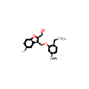 CCOC(=O)Cc1ccc(OC)cc1OCc1c(CO)oc2ccc(Br)cc12